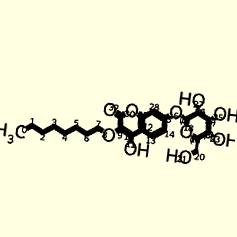 CCCCCCCCOc1c(O)c2ccc(O[C@@H]3O[C@H](CO)[C@@H](O)[C@H](O)[C@H]3O)cc2oc1=O